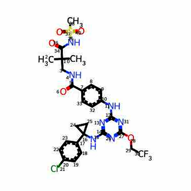 CC(C)(CNC(=O)c1ccc(Nc2nc(NC3(c4ccc(Cl)cc4)CC3)nc(OCC(F)(F)F)n2)cc1)C(=O)NS(C)(=O)=O